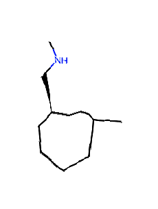 CNC[C@@H]1CCCCC(C)C1